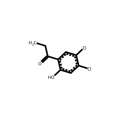 CCC(=O)c1cc(Cl)c(Cl)cc1O